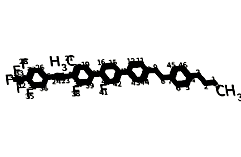 CCCCc1ccc(CCc2ccc(-c3ccc(-c4cc(C)c(C#Cc5cc(F)c(C(F)(F)F)c(F)c5)c(F)c4)c(F)c3)cc2)cc1